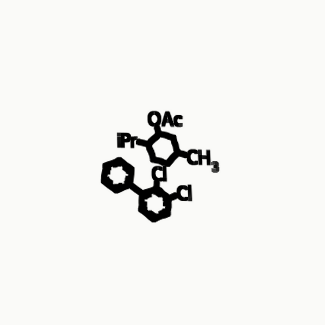 CC(=O)OC1CC(C)CCC1C(C)C.Clc1cccc(-c2ccccc2)c1Cl